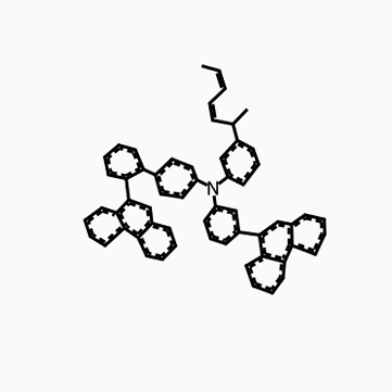 C/C=C\C=C/C(C)c1cccc(N(c2ccc(-c3ccccc3-c3cc4ccccc4c4ccccc34)cc2)c2cccc(-c3cc4ccccc4c4ccccc34)c2)c1